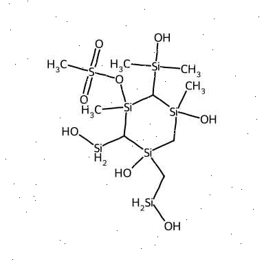 C[Si](C)(O)C1[Si](C)(O)C[Si](O)(C[SiH2]O)C([SiH2]O)[Si]1(C)OS(C)(=O)=O